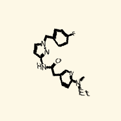 CCN(C)c1ccc(CC(=O)Nc2ccn(Cc3ccc(F)cc3)n2)cn1